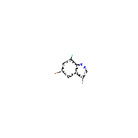 N#Cc1c[nH]c2c(F)cc(Br)cc12